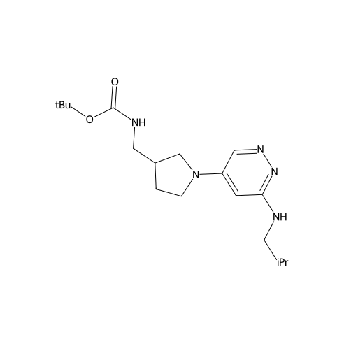 CC(C)CNc1cc(N2CCC(CNC(=O)OC(C)(C)C)C2)cnn1